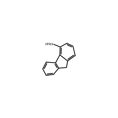 CCCCCCc1cccc2c1-c1ccc[c]c1C2